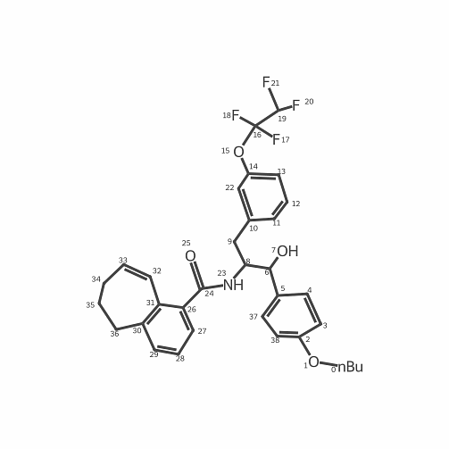 CCCCOc1ccc(C(O)C(Cc2cccc(OC(F)(F)C(F)F)c2)NC(=O)c2cccc3c2C=CCCC3)cc1